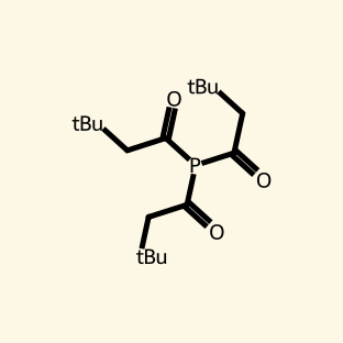 CC(C)(C)CC(=O)P(C(=O)CC(C)(C)C)C(=O)CC(C)(C)C